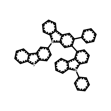 c1ccc(-c2cc3c4ccccc4n(-c4ccc5sc6ccccc6c5c4)c3cc2-c2cccc3c2c2ccccc2n3-c2ccccc2)cc1